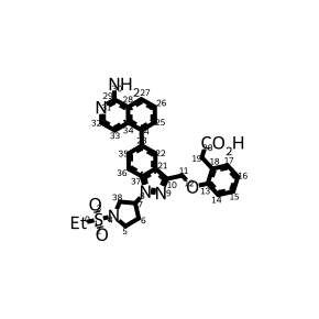 CCS(=O)(=O)N1CCC(n2nc(COc3ccccc3CC(=O)O)c3cc(-c4cccc5c(N)nccc45)ccc32)C1